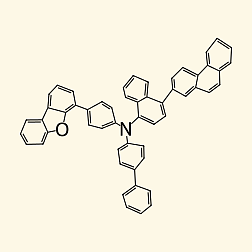 c1ccc(-c2ccc(N(c3ccc(-c4cccc5c4oc4ccccc45)cc3)c3ccc(-c4ccc5c(ccc6ccccc65)c4)c4ccccc34)cc2)cc1